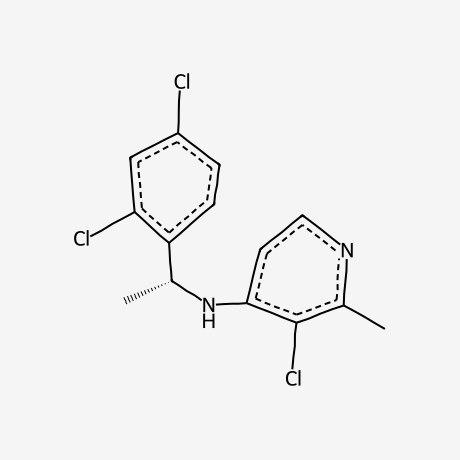 Cc1nccc(N[C@H](C)c2ccc(Cl)cc2Cl)c1Cl